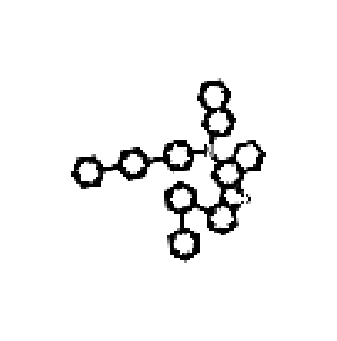 C1=Cc2c(c(N(c3ccc(-c4ccc(-c5ccccc5)cc4)cc3)c3ccc4ccccc4c3)cc3c2oc2cccc(-c4ccccc4-c4ccccc4)c23)CC1